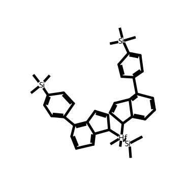 C[Si](C)=[Hf]([CH3])([CH3])([CH]1C=Cc2c(-c3ccc([Si](C)(C)C)cc3)cccc21)[CH]1C=Cc2c(-c3ccc([Si](C)(C)C)cc3)cccc21